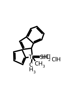 Cl.Cl.[CH3][Ti]([CH3])(=[SiH2])([C]1=CC=CC1)[CH]1C=Cc2ccccc21